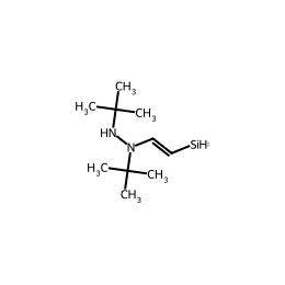 CC(C)(C)NN(C=C[SiH])C(C)(C)C